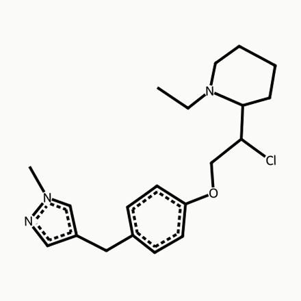 CCN1CCCCC1C(Cl)COc1ccc(Cc2cnn(C)c2)cc1